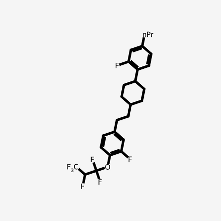 CCCc1ccc(C2CCC(CCc3ccc(OC(F)(F)C(F)C(F)(F)F)c(F)c3)CC2)c(F)c1